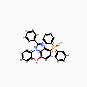 O=P(c1ccccc1)(c1ccccc1)c1ccc2c3c1nc(-c1ccccc1)n3-c1ccccc1O2